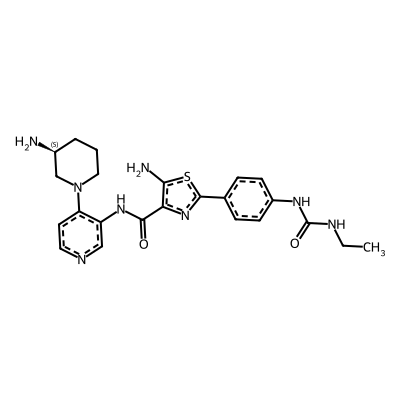 CCNC(=O)Nc1ccc(-c2nc(C(=O)Nc3cnccc3N3CCC[C@H](N)C3)c(N)s2)cc1